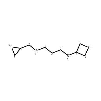 C(CSCC1CS1)CSC1CSC1